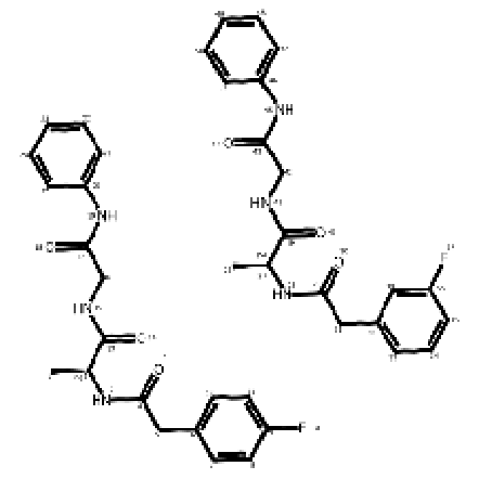 C[C@H](NC(=O)Cc1ccc(F)cc1)C(=O)NCC(=O)Nc1ccccc1.C[C@H](NC(=O)Cc1cccc(F)c1)C(=O)NCC(=O)Nc1ccccc1